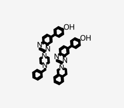 Oc1ccc(-c2ccc3ncc(N4CCN(Cc5ccccc5)CC4)nc3c2)cc1.Oc1ccc(-c2ccc3ncc(N4CCc5ccccc5C4)nc3c2)cc1